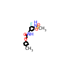 Cc1ccc(OCC(=O)NCc2ccc(NS(C)(=O)=O)c(F)c2)cc1